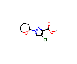 COC(=O)c1nn(C2CCCCO2)cc1Cl